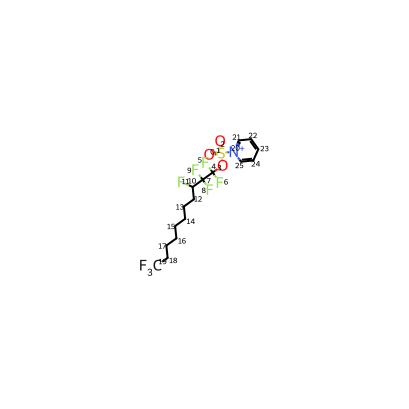 O=S(=O)(OC(F)(F)C(F)(F)C(F)CCCCCCCC(F)(F)F)[n+]1ccccc1